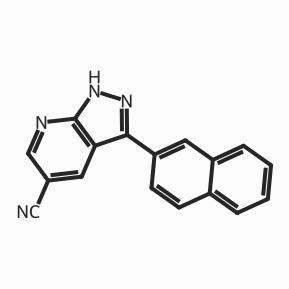 N#Cc1cnc2[nH]nc(-c3ccc4ccccc4c3)c2c1